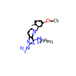 CCCCCNc1nc(N)nc2ccn(Cc3cc(OCC#N)ccc3C)c12